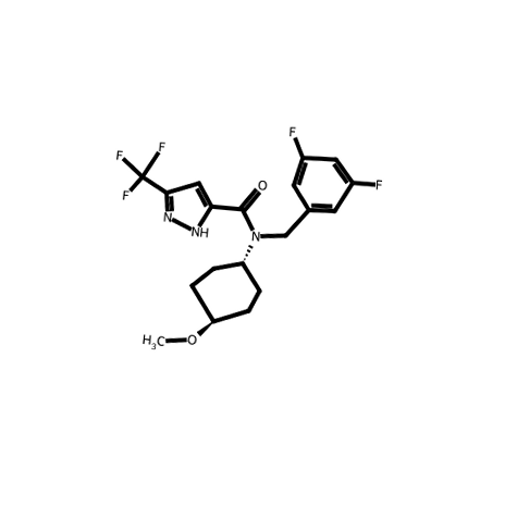 CO[C@H]1CC[C@H](N(Cc2cc(F)cc(F)c2)C(=O)c2cc(C(F)(F)F)n[nH]2)CC1